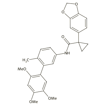 COc1cc(OC)c(-c2cc(NC(=O)C3(c4ccc5c(c4)OCO5)CC3)ccc2C)cc1OC